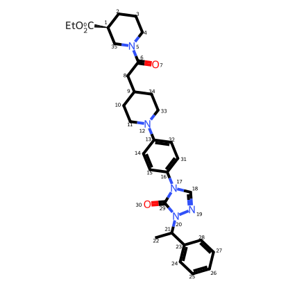 CCOC(=O)[C@H]1CCCN(C(=O)CC2CCN(c3ccc(-n4cnn(C(C)c5ccccc5)c4=O)cc3)CC2)C1